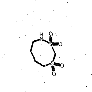 O=S1(=O)CCCCNS(=O)(=O)C1